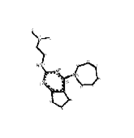 CN(C)CCNc1nc2c(c(N3CCCCCC3)n1)CCC2